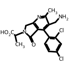 Cc1nc2c(c(-c3ccc(Cl)cc3Cl)c1CN)C(=O)N(C(C)C(=O)O)C2